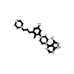 Cc1c(CCCN2CCOCC2)cc(Cl)cc1N1CCN(c2ncnc3[nH]nc(Br)c23)CC1